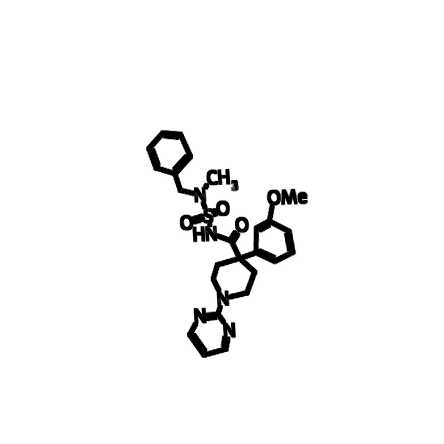 COc1cccc(C2(C(=O)NS(=O)(=O)N(C)Cc3ccccc3)CCN(c3ncccn3)CC2)c1